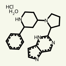 Cl.O.c1ccc(C2CC(N3CCCC3c3ncc4nccc-4[nH]3)CCN2)cc1